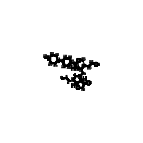 CCC[C@@H]1CN(C[C@@H](NC(=O)c2ccc(N3CCN(C)CC3)cc2)[C@H](C)CC=O)[C@@H]2C(=O)CO[C@H]12